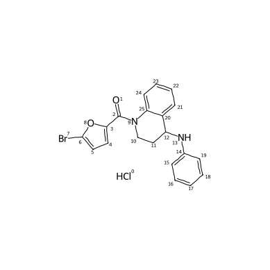 Cl.O=C(c1ccc(Br)o1)N1CCC(Nc2ccccc2)c2ccccc21